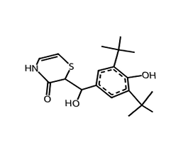 CC(C)(C)c1cc(C(O)C2SC=CNC2=O)cc(C(C)(C)C)c1O